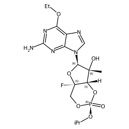 CCOc1nc(N)nc2c1ncn2[C@@H]1O[C@]2(F)CO[P@](=O)(OC(C)C)O[C@H]2[C@@]1(C)O